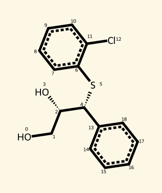 OC[C@H](O)[C@H](Sc1ccccc1Cl)c1ccccc1